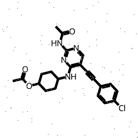 CC(=O)Nc1ncc(C#Cc2ccc(Cl)cc2)c(NC2CCC(OC(C)=O)CC2)n1